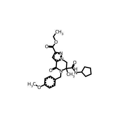 CCOC(=O)c1cc2n(n1)CC(C)(C(=O)NC1CCCC1)N(Cc1ccc(OC)cc1)C2=O